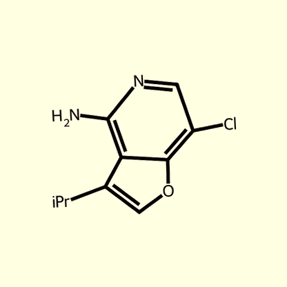 CC(C)c1coc2c(Cl)cnc(N)c12